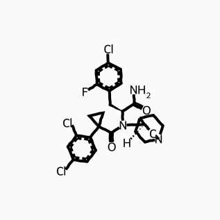 NC(=O)[C@H](Cc1ccc(Cl)cc1F)N(C(=O)C1(c2ccc(Cl)cc2Cl)CC1)[C@@H]1CN2CCC1CC2